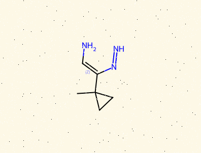 CC1(/C(=C/N)N=N)CC1